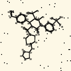 CC(=O)C1=C(C)N(c2cccc(C(F)(F)F)c2)C(=O)C(C(=O)N2CCN(CC3CCCO3)CC2)C1c1ccc(C=N)cc1